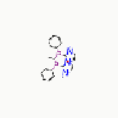 CC(P(c1ccccc1)c1nccn1C)P(c1ccccc1)c1nccn1C